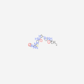 C=CC(=O)NC1CCCN(Cc2ccnc(C(=O)NC3CCN(c4nc5c(N6CCOCC6)ncnc5s4)CC3)c2)C1